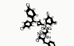 NC(=O)C(Cc1ccccc1)NC(=O)CS(=O)(=O)N(c1cc(F)cc(F)c1)C1CN(C(c2ccc(Cl)cc2)c2ccc(Cl)cc2)C1